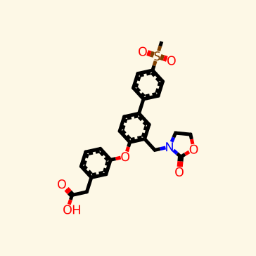 CS(=O)(=O)c1ccc(-c2ccc(Oc3cccc(CC(=O)O)c3)c(CN3CCOC3=O)c2)cc1